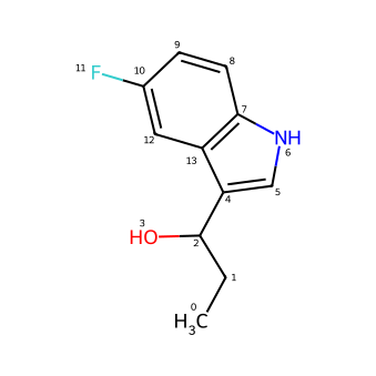 CCC(O)c1c[nH]c2ccc(F)cc12